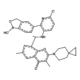 Cc1cc(C(C)Nc2ccc(Cl)nc2-c2ccc3c(c2)COB3O)c2oc(N3CCC4(CC3)CC4)c(C)c(=O)c2c1